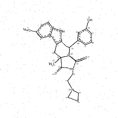 COc1ccc2[nH]c3c(c2c1)CC1(C)C(=O)N(CCN2CCC2)C(=O)N1C3c1cccc(O)c1